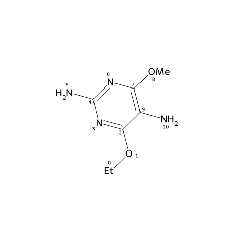 CCOc1nc(N)nc(OC)c1N